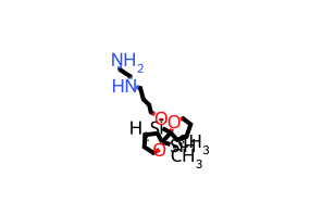 C[SiH](C)C1(C2([SiH2]OCCCCNCCN)CCCCO2)CCCCO1